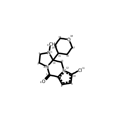 CN1CCN2C(=O)c3ccc(Cl)n3CC12C1CCOCC1